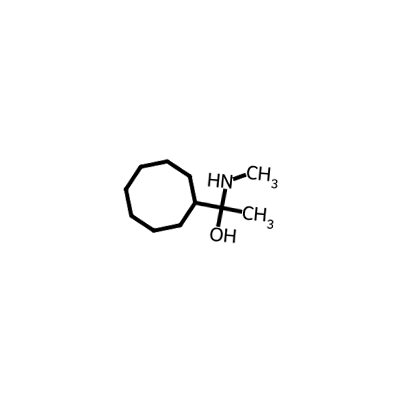 CNC(C)(O)C1CCCCCCC1